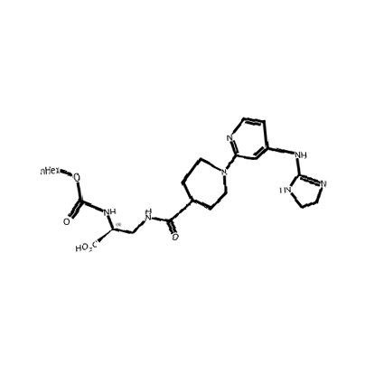 CCCCCCOC(=O)N[C@@H](CNC(=O)C1CCN(c2cc(NC3=NCCN3)ccn2)CC1)C(=O)O